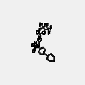 O=C(OC(C(F)(F)F)C(F)(F)F)N1CC(N(c2ccc(-c3ccccc3)cc2)[SH](=O)=O)C1